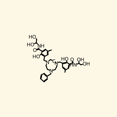 Cc1cc(CN2CCN(Cc3ccccc3)CCN(Cc3cc(C)cc(C(=O)NC(O)CO)c3O)CC2)c(O)c(C(=O)NC(O)CO)c1